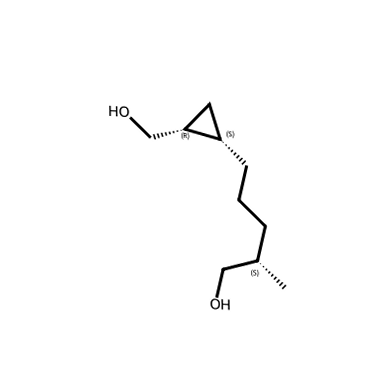 C[C@H](CO)CCC[C@H]1C[C@H]1CO